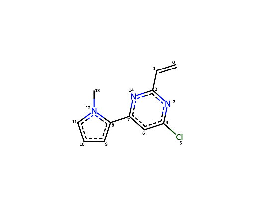 C=Cc1nc(Cl)cc(-c2cccn2C)n1